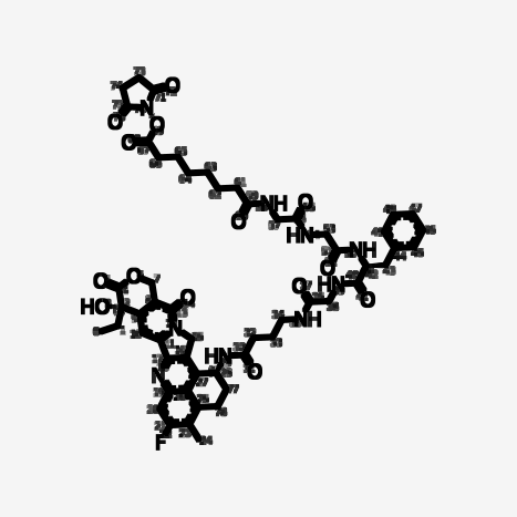 CC[C@@]1(O)C(=O)OCc2c1cc1n(c2=O)Cc2c-1nc1cc(F)c(C)c3c1c2[C@@H](NC(=O)CCCNC(=O)CNC(=O)[C@H](Cc1ccccc1)NC(=O)CNC(=O)CNC(=O)CCCCCCC(=O)ON1C(=O)CCC1=O)CC3